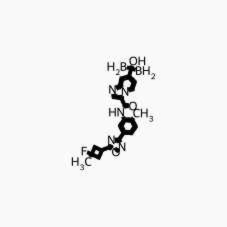 BC(B)(O)c1ccn2c(C(=O)Nc3cc(-c4noc(C5CC(C)(F)C5)n4)ccc3C)cnc2c1